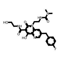 CN(C)C(=O)NCCn1c(=O)c(C(=O)NCCO)c(O)c2ncc(Cc3ccc(F)cc3)cc21